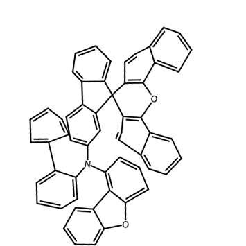 c1ccc(-c2ccccc2N(c2ccc3c(c2)C2(c4ccccc4-3)c3ccc4ccccc4c3Oc3c2ccc2ccccc32)c2cccc3oc4ccccc4c23)cc1